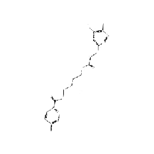 Cc1ccc(C(=O)NC[C@@H](O)CCNC(=O)COc2ccc(Cl)c(F)c2)nc1